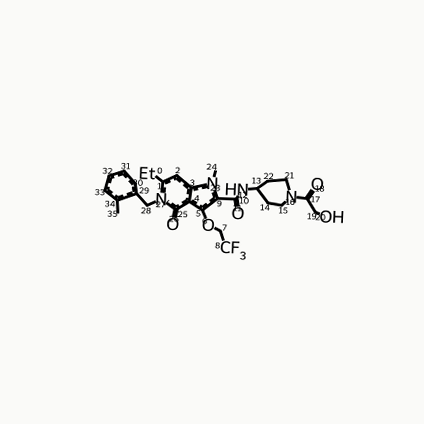 CCc1cc2c(c(OCC(F)(F)F)c(C(=O)NC3CCN(C(=O)CO)CC3)n2C)c(=O)n1Cc1ccccc1C